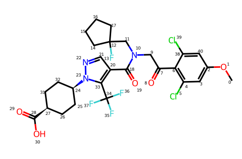 COc1cc(Cl)c(C(=O)CN(CC2(F)CCCC2)C(=O)c2cnn([C@H]3CC[C@@H](C(=O)O)CC3)c2C(F)(F)F)c(Cl)c1